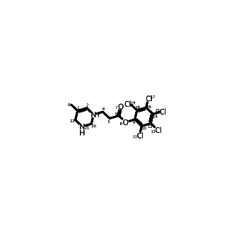 CC1=CN(CCC(=O)Oc2c(Cl)c(Cl)c(Cl)c(Cl)c2Cl)CNC1